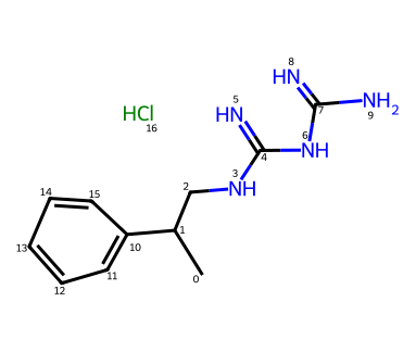 CC(CNC(=N)NC(=N)N)c1ccccc1.Cl